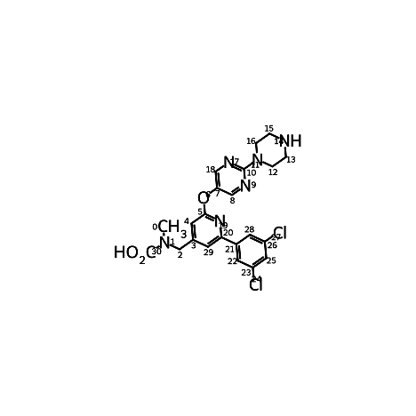 CN(Cc1cc(Oc2cnc(N3CCNCC3)nc2)nc(-c2cc(Cl)cc(Cl)c2)c1)C(=O)O